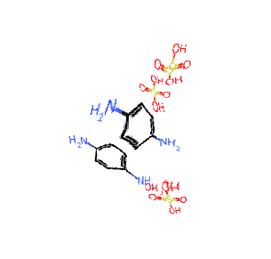 Nc1ccc(N)cc1.Nc1ccc(N)cc1.O.O=S(=O)(O)O.O=S(=O)(O)O.O=S(=O)(O)O